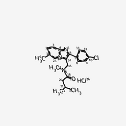 Cc1ccc2nc(-c3ccc(Cl)cc3)c(CN(C)C(=O)CC(C)C)n2c1.Cl